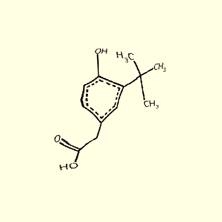 CC(C)(C)c1cc(CC(=O)O)ccc1O